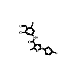 Cc1nn(-c2ccc(F)cc2)cc1C(=O)Nc1cc(F)c(C=O)c(Cl)c1